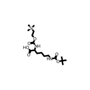 CC(C)(C)OC(=O)NCCCCC(NC(=O)OCC[Si](C)(C)C)C(=O)O